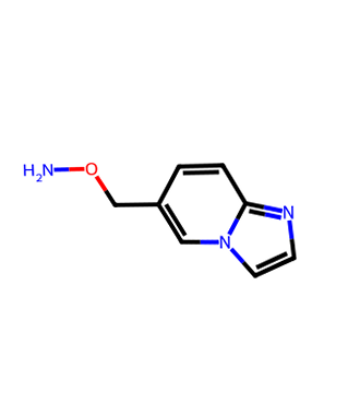 NOCc1ccc2nccn2c1